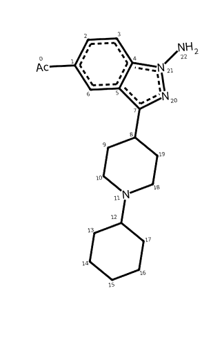 CC(=O)c1ccc2c(c1)c(C1CCN(C3CCCCC3)CC1)nn2N